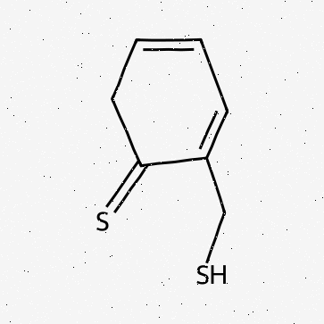 S=C1CC=CC=C1CS